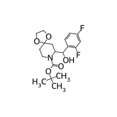 CC(C)(C)OC(=O)N1CCC2(CC1C(O)c1ccc(F)cc1F)OCCO2